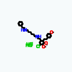 COc1ccc(CCc2c(CCNCCCCCCNCCc3ccccc3)cc(Cl)c(OC)c2OC)cc1.Cl.Cl